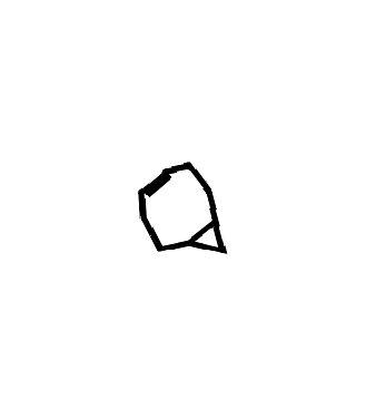 C1=C\CCC2CC2CC/1